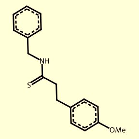 COc1ccc(CCC(=S)NCc2ccccc2)cc1